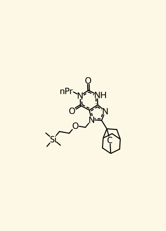 CCCn1c(=O)[nH]c2nc(C34CC5CC(CC3C5)C4)n(COCC[Si](C)(C)C)c2c1=O